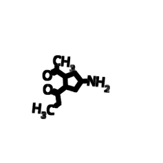 CCC(=O)C1CC(N)CC1C(C)=O